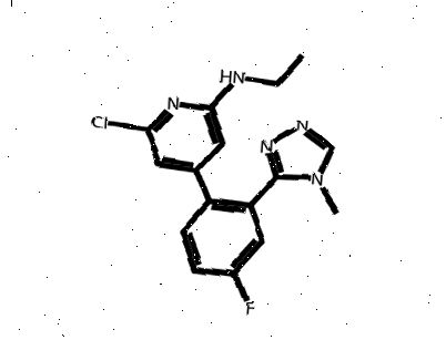 CCNc1cc(-c2ccc(F)cc2-c2nncn2C)cc(Cl)n1